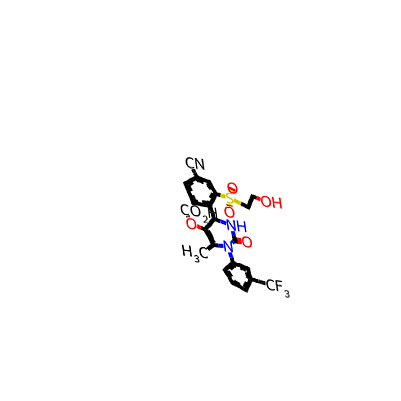 CC1=C(OC(=O)O)C(c2ccc(C#N)cc2S(=O)(=O)CCO)NC(=O)N1c1cccc(C(F)(F)F)c1